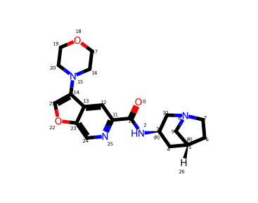 O=C(N[C@@H]1C[C@H]2CCN(C2)C1)c1cc2c(N3CCOCC3)coc2cn1